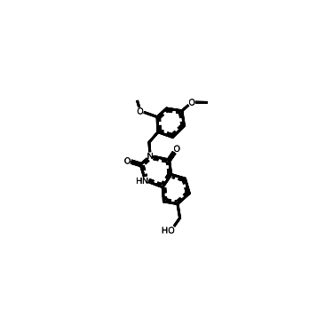 COc1ccc(Cn2c(=O)[nH]c3cc(CO)ccc3c2=O)c(OC)c1